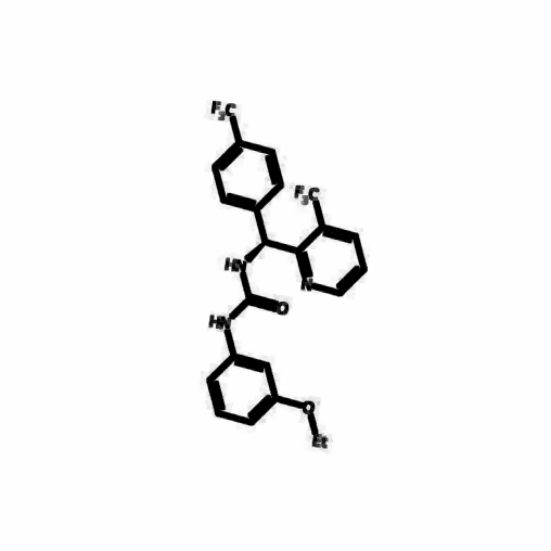 CCOc1cccc(NC(=O)N[C@@H](c2ccc(C(F)(F)F)cc2)c2ncccc2C(F)(F)F)c1